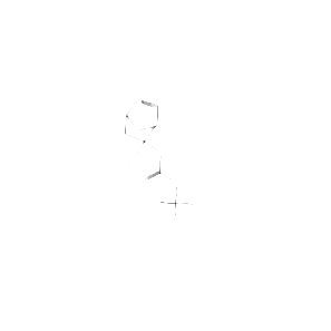 CC(C)(C)OC(=O)OC1(C)CC2C=CC1O2